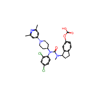 Cc1cc(N2CCC(N(C(=O)N(C)C3CCc4ccc(OC(=O)O)cc43)c3ccc(Cl)cc3Cl)CC2)cc(C)n1